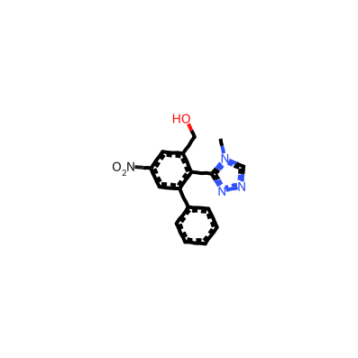 Cn1cnnc1-c1c(CO)cc([N+](=O)[O-])cc1-c1ccccc1